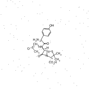 CC1(C)S[C@@H]2[C@H](NC(=O)[C@H](N)c3ccc(O)cc3)C(=O)N2[C@H]1C(=O)O.C[S+](C)[O-]